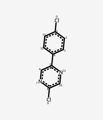 Clc1ccc(-c2cnc(Cl)cn2)cc1